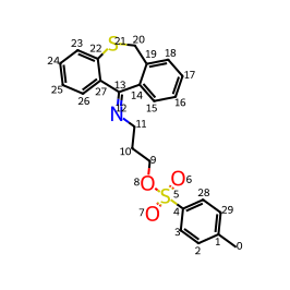 Cc1ccc(S(=O)(=O)OCCC/N=C2\c3ccccc3CSc3ccccc32)cc1